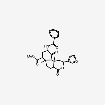 COC(=O)C1CC(NC(=O)c2ccccc2)C(=O)C2C1(C)CCC1C(=O)OC(c3ccoc3)CC12C